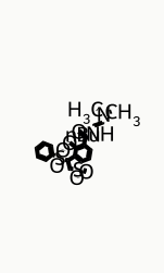 CCCCOc1c(C(=O)NCCN(C)C)ccc2c1C(S(=O)(=O)c1ccccc1)CS2(=O)=O